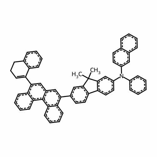 CC1(C)c2cc(-c3cc4cc(C5=CCCc6ccccc65)c5ccccc5c4c4ccccc34)ccc2-c2ccc(N(c3ccccc3)c3ccc4ccccc4c3)cc21